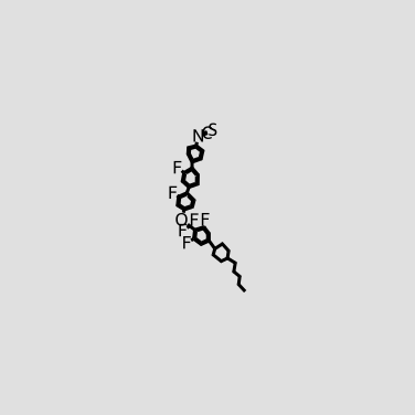 CCCCCC1CCC(c2cc(F)c(C(F)(F)Oc3ccc(-c4ccc(-c5ccc(N=C=S)cc5)c(F)c4)c(F)c3)c(F)c2)CC1